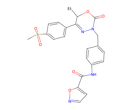 CCC1OC(=O)N(Cc2ccc(NC(=O)c3ccno3)cc2)N=C1c1ccc(S(C)(=O)=O)cc1